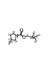 C[Si](C)(C)CCOC(=O)N1CCC(F)C1